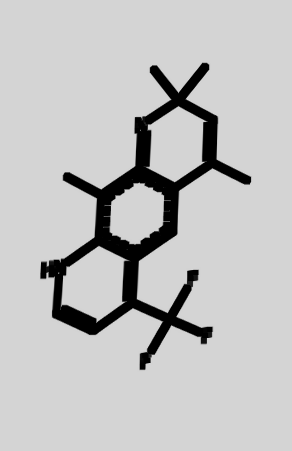 CC1=CC(C)(C)N=c2c1cc1c(c2C)NC=CC=1C(F)(F)F